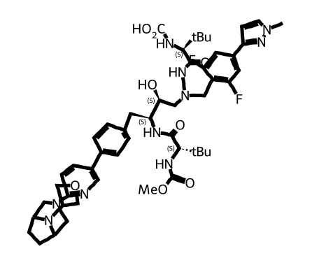 COC(=O)N[C@H](C(=O)N[C@@H](Cc1ccc(-c2ccc(N3CC4CCC(C3)N4C3COC3)nc2)cc1)[C@@H](O)CN(Cc1c(F)cc(-c2ccn(C)n2)cc1F)NC(=O)[C@@H](NC(=O)O)C(C)(C)C)C(C)(C)C